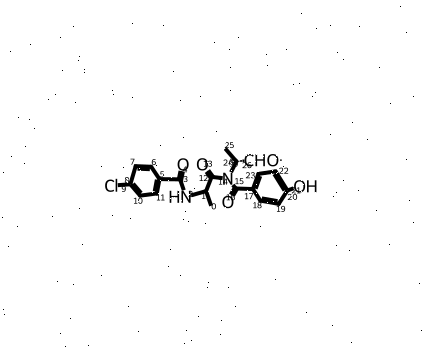 CC(NC(=O)c1ccc(Cl)cc1)C(=O)N(C(=O)c1ccc(O)cc1)[C@H](C)[C]=O